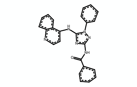 O=C(Nc1nc(Nc2ccnc3ccccc23)n(-c2ccccc2)n1)c1ccccc1